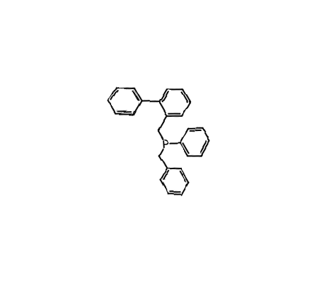 c1ccc(CP(Cc2ccccc2-c2ccccc2)c2ccccc2)cc1